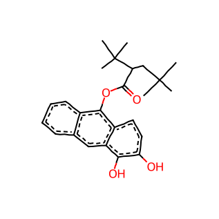 CC(C)(C)CC(C(=O)Oc1c2ccccc2cc2c(O)c(O)ccc12)C(C)(C)C